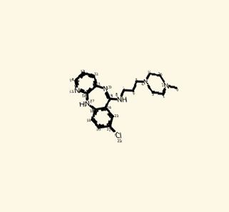 CN1CCN(CCCNC2=Nc3cccnc3Nc3ccc(Cl)cc32)CC1